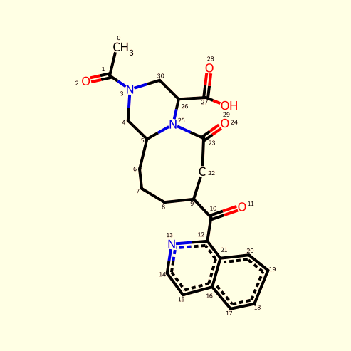 CC(=O)N1CC2CCCC(C(=O)c3nccc4ccccc34)CC(=O)N2C(C(=O)O)C1